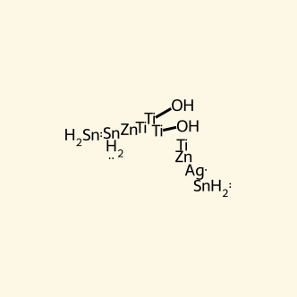 [Ag].[OH][Ti].[OH][Ti].[SnH2].[SnH2].[SnH2].[Ti].[Ti].[Zn].[Zn]